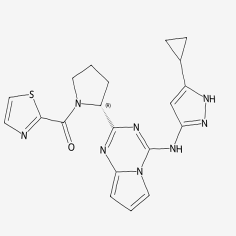 O=C(c1nccs1)N1CCC[C@@H]1c1nc(Nc2cc(C3CC3)[nH]n2)n2cccc2n1